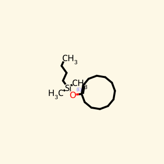 CCCC[Si](C)(C)O/C1=C/CCCCCCCCCC1